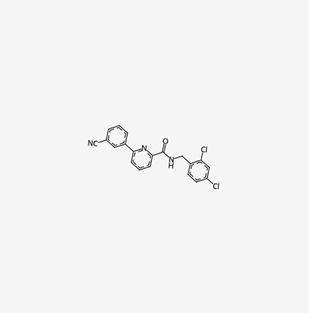 N#Cc1cccc(-c2cccc(C(=O)NCc3ccc(Cl)cc3Cl)n2)c1